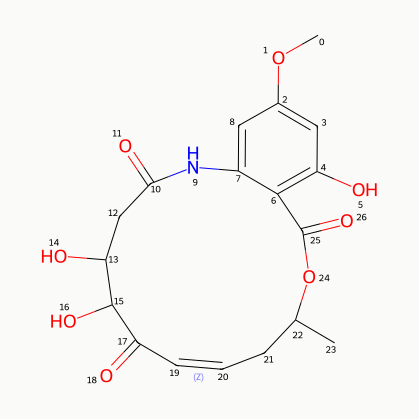 COc1cc(O)c2c(c1)NC(=O)CC(O)C(O)C(=O)/C=C\CC(C)OC2=O